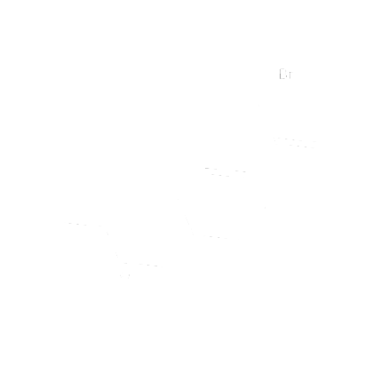 C=C(CBr)c1ccc(C[C@H](C)CC)cc1